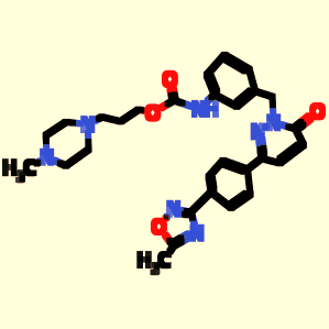 Cc1nc(-c2ccc(-c3ccc(=O)n(Cc4cccc(NC(=O)OCCCN5CCN(C)CC5)c4)n3)cc2)no1